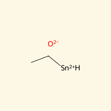 C[CH2][SnH+2].[O-2]